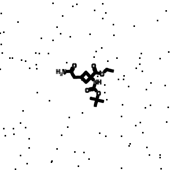 CCOC(=O)C1(NC(=O)OC(C)(C)C)CC(CC(N)=O)C1